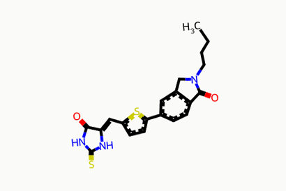 CCCCN1Cc2cc(-c3ccc(/C=C4\NC(=S)NC4=O)s3)ccc2C1=O